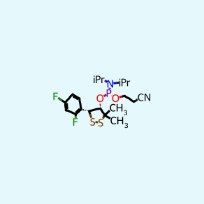 CC(C)N(C(C)C)P(OCCC#N)O[C@H]1[C@@H](c2ccc(F)cc2F)SSC1(C)C